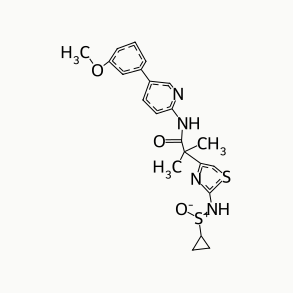 COc1cccc(-c2ccc(NC(=O)C(C)(C)c3csc(N[S+]([O-])C4CC4)n3)nc2)c1